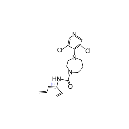 C=C/C=C(\C=C)NC(=O)N1CCCN(c2c(Cl)cncc2Cl)CC1